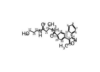 Cc1onc(-c2ccccc2)c1-c1ccc(C(=O)N[C@@H](C)CC(=O)NCCCO)cc1